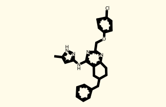 Cc1cc(Nc2nc(COc3ccc(Cl)cc3)nc3c2CC(Cc2ccccc2)CC3)n[nH]1